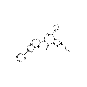 C=CCn1cc(C(=O)N2CCC2)c(C(=O)Nc2ccn3cc(-c4ccccc4)nc3n2)n1